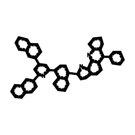 c1ccc(-c2c3ccccc3nc3c2ccc2ccc(-c4ccc(-c5cc(-c6ccc7ccccc7c6)cc(-c6ccc7ccccc7c6)n5)c5ccccc45)nc23)cc1